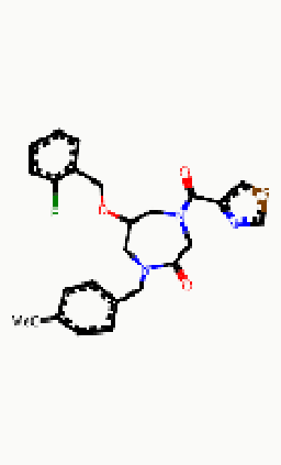 COc1ccc(CN2CC(OCc3ccccc3F)CN(C(=O)c3cscn3)CC2=O)cc1